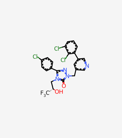 O=c1n(Cc2cncc(-c3cccc(Cl)c3Cl)c2)nc(-c2ccc(Cl)cc2)n1C[C@H](O)C(F)(F)F